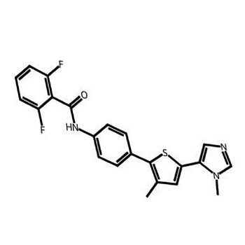 Cc1cc(-c2cncn2C)sc1-c1ccc(NC(=O)c2c(F)cccc2F)cc1